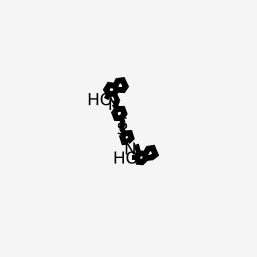 Oc1ccc2ccccc2c1C=Nc1ccc(SSc2ccc(N=Cc3c(O)ccc4ccccc34)cc2)cc1